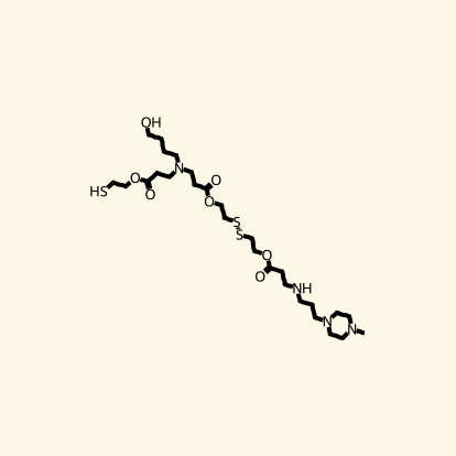 CN1CCN(CCCNCCC(=O)OCCSSCCOC(=O)CCN(CCCCO)CCC(=O)OCCS)CC1